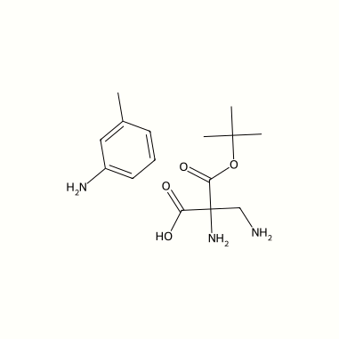 CC(C)(C)OC(=O)C(N)(CN)C(=O)O.Cc1cccc(N)c1